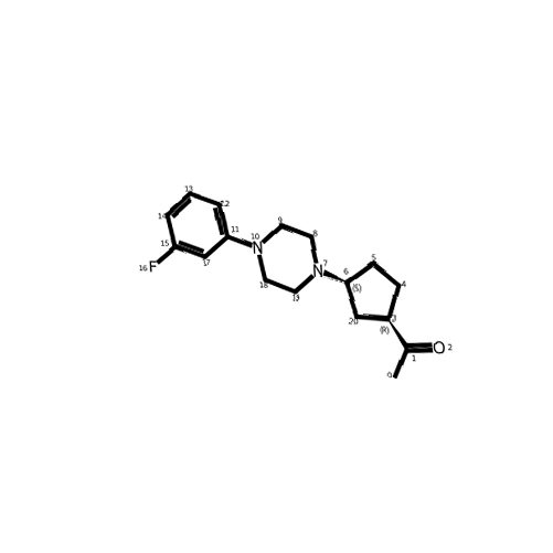 CC(=O)[C@@H]1CC[C@H](N2CCN(c3cccc(F)c3)CC2)C1